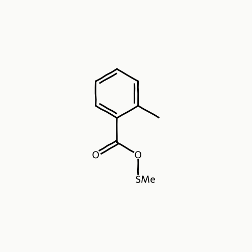 CSOC(=O)c1ccccc1C